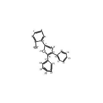 Brc1ccccc1-c1nc(-c2ccccc2)c(-c2ccccc2)o1